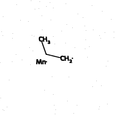 [CH2]CC.[Mn]